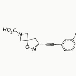 O=C(O)N1CC2(CC(C#Cc3cccc(Cl)c3)=NO2)C1